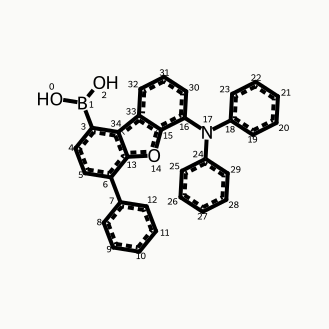 OB(O)c1ccc(-c2ccccc2)c2oc3c(N(c4ccccc4)c4ccccc4)cccc3c12